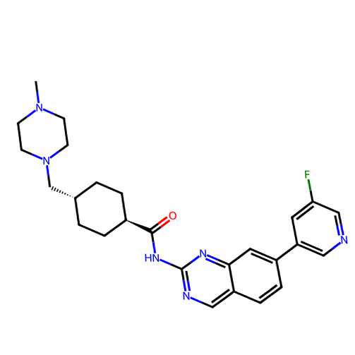 CN1CCN(C[C@H]2CC[C@H](C(=O)Nc3ncc4ccc(-c5cncc(F)c5)cc4n3)CC2)CC1